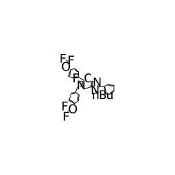 CCCCn1c(-c2ccccc2)nc(C(F)(F)F)c1CN(Cc1ccc(OC(F)F)cc1)Cc1ccc(OC(F)F)cc1